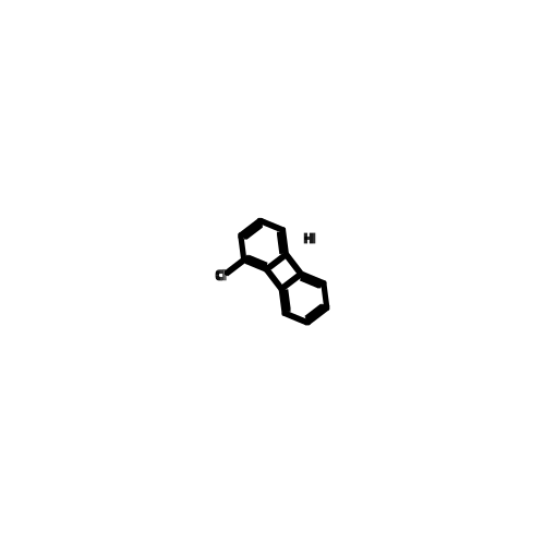 Clc1cccc2c1-c1ccccc1-2.I